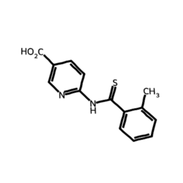 Cc1ccccc1C(=S)Nc1ccc(C(=O)O)cn1